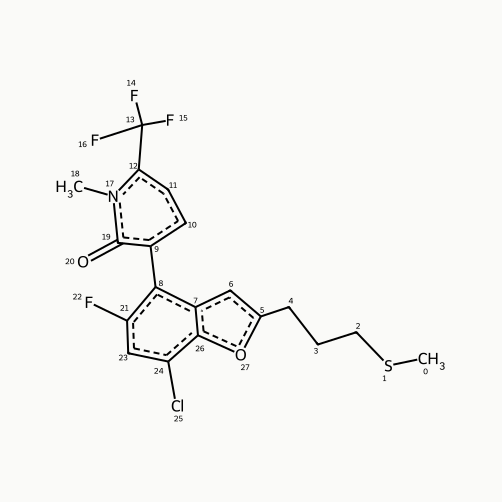 CSCCCc1cc2c(-c3ccc(C(F)(F)F)n(C)c3=O)c(F)cc(Cl)c2o1